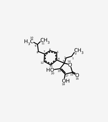 CCCC1(c2ccc(CC(C)C)cc2)OC(=O)C(O)=C1O